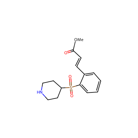 COC(=O)/C=C/c1ccccc1S(=O)(=O)C1CCNCC1